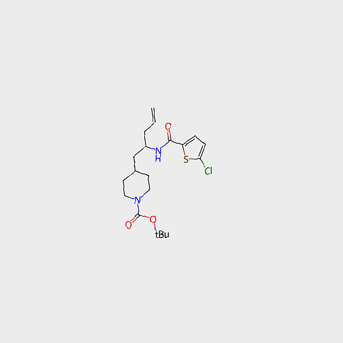 C=CCC(CC1CCN(C(=O)OC(C)(C)C)CC1)NC(=O)c1ccc(Cl)s1